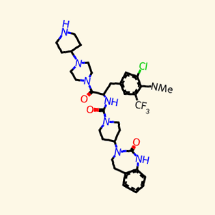 CNc1c(Cl)cc(CC(NC(=O)N2CCC(N3CCc4ccccc4NC3=O)CC2)C(=O)N2CCN(C3CCNCC3)CC2)cc1C(F)(F)F